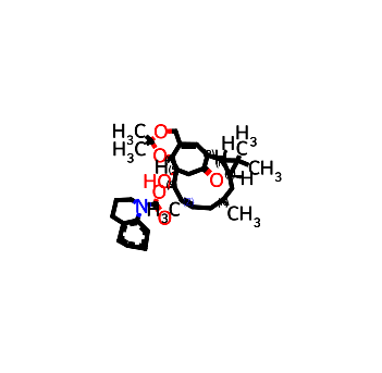 C/C1=C/C[C@H](C)C[C@@H]2[C@H]([C@@H]3C=C4COC(C)(C)O[C@H]4[C@@](O)(CC3=O)[C@H]1OC(=O)N1CCCc3ccccc31)C2(C)C